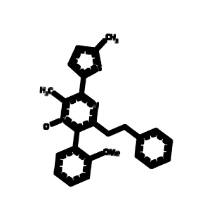 COc1ccccc1-c1c(CCc2ccccc2)nc(-c2ccc(C)s2)c(C)[n+]1[O-]